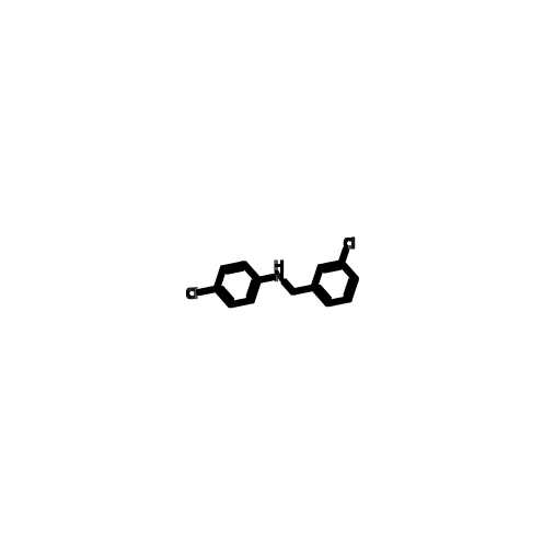 Clc1ccc(NCc2cccc(Cl)c2)cc1